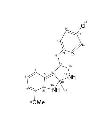 COC1=CC=CC2=C3C(Cc4ccc(Cl)cc4)CNC3(C)NC12